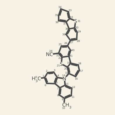 Cc1ccc2c(c1)c1cc(C)ccc1n2-c1cccc2c1sc1c(C#N)cc(-c3ccc4sc5ccccc5c4c3)cc12